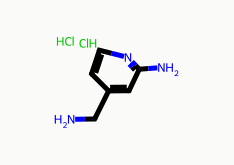 Cl.Cl.NCc1ccnc(N)c1